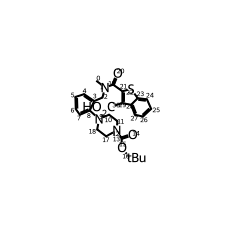 CN(Cc1ccccc1N1CCN(C(=O)OC(C)(C)C)CC1)C(=O)c1sc2ccccc2c1C(=O)O